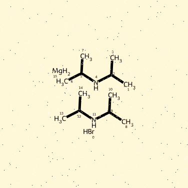 Br.CC(C)NC(C)C.CC(C)NC(C)C.[MgH2]